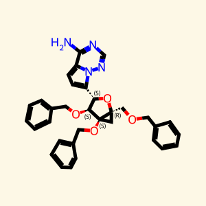 Nc1ncnn2c([C@@H]3O[C@@]4(COCc5ccccc5)C[C@]4(OCc4ccccc4)[C@H]3OCc3ccccc3)ccc12